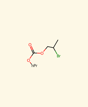 CCCOC(=O)OCC(C)Br